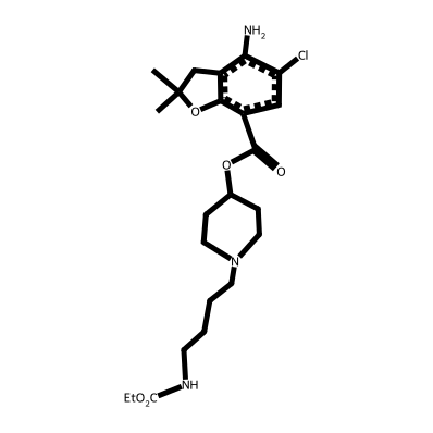 CCOC(=O)NCCCCN1CCC(OC(=O)c2cc(Cl)c(N)c3c2OC(C)(C)C3)CC1